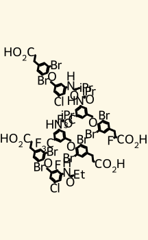 CC(C)C(=O)Nc1cc(COc2c(Br)cc(CC(F)C(=O)O)cc2Br)cc(C(F)(F)F)c1.CC(C)C(=O)Nc1cc(COc2c(Br)cc(CCC(=O)O)cc2Br)cc(C(F)(F)F)c1.CC(C)C(=O)Nc1cc(Cl)cc(COc2c(Br)cc(CCC(=O)O)cc2Br)c1.CCC(=O)Nc1cc(Cl)cc(COc2c(Br)cc(CCC(=O)O)cc2Br)c1F